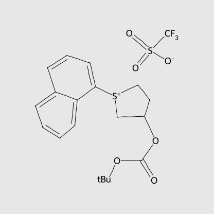 CC(C)(C)OC(=O)OC1CC[S+](c2cccc3ccccc23)C1.O=S(=O)([O-])C(F)(F)F